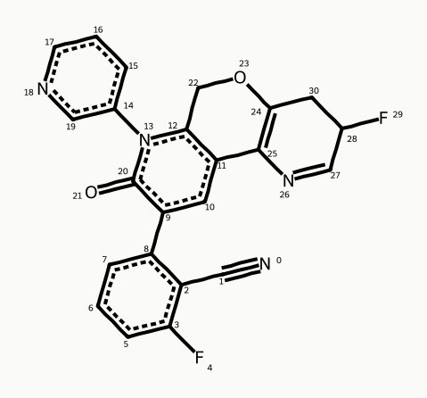 N#Cc1c(F)cccc1-c1cc2c(n(-c3cccnc3)c1=O)COC1=C2N=CC(F)C1